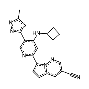 Cc1nnc(-c2cnc(-c3ccc4cc(C#N)cnn34)cc2NC2CCC2)s1